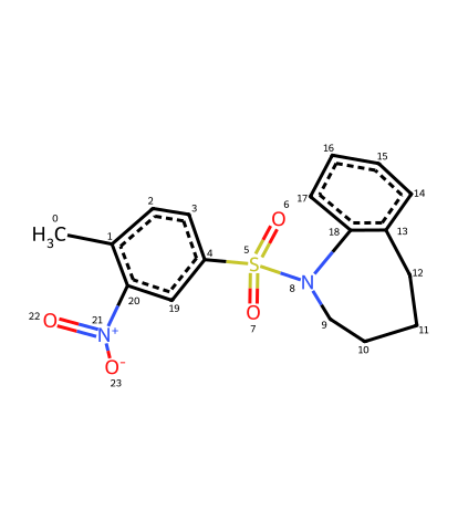 Cc1ccc(S(=O)(=O)N2CCCCc3ccccc32)cc1[N+](=O)[O-]